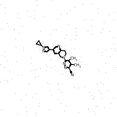 Cc1c(C#N)nnc(N2CCc3ncc(-c4cnn(C5CC5)c4)cc3C2)c1C